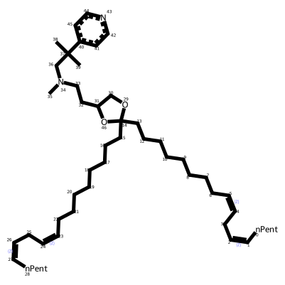 CCCCC/C=C\C/C=C\CCCCCCCCC1(CCCCCCCC/C=C\C/C=C\CCCCC)OCC(CCN(C)CC(C)(C)c2ccncc2)O1